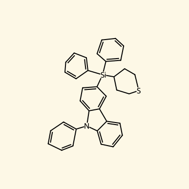 c1ccc(-n2c3ccccc3c3cc([Si](c4ccccc4)(c4ccccc4)C4CCSCC4)ccc32)cc1